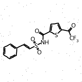 O=C(NS(=O)(=O)C=Cc1ccccc1)c1ccc(C(=O)C(F)(F)F)s1